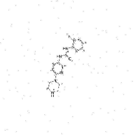 O=C(Nc1ccc(N2CCNCC2)nc1)Nc1ccccc1F